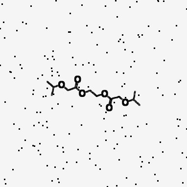 CC(C)OCC(=O)OCCOC(=O)COC(C)C